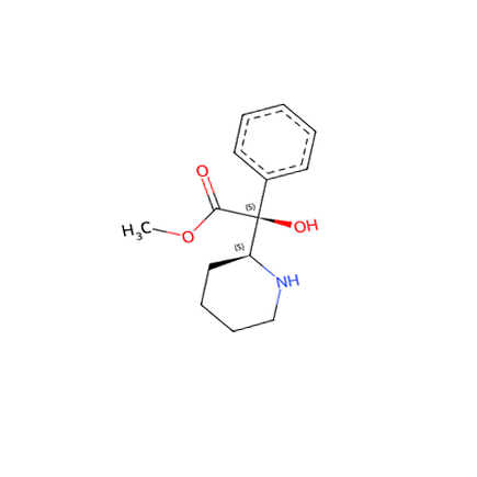 COC(=O)[C@](O)(c1ccccc1)[C@@H]1CCCCN1